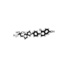 CC(C)(O)CN1CC[C@]2(CCN(c3ccc(-n4ccc5cc(O)ccc5c4=O)cc3)C2)C1